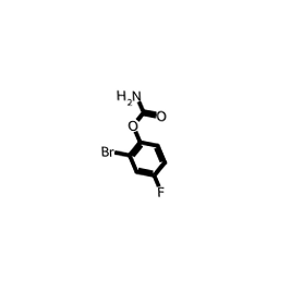 NC(=O)Oc1ccc(F)cc1Br